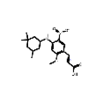 COc1cc(NC2CC(C)CC(C)(C)C2)c([N+](=O)[O-])cc1/C=C/C(=O)O